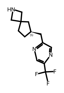 FC(F)(F)c1cnc(C[C@H]2CCC3(CNC3)C2)cn1